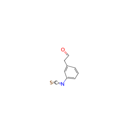 O=CCc1cccc(N=C=S)c1